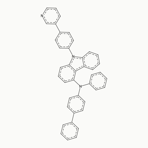 c1ccc(-c2ccc(N(c3ccccc3)c3cccc4c3c3ccccc3n4-c3ccc(-c4cccnc4)cc3)cc2)cc1